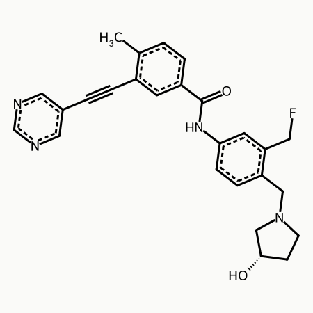 Cc1ccc(C(=O)Nc2ccc(CN3CC[C@H](O)C3)c(CF)c2)cc1C#Cc1cncnc1